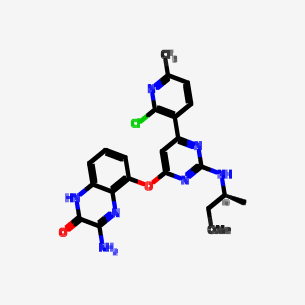 COC[C@H](C)Nc1nc(Oc2cccc3[nH]c(=O)c(N)nc23)cc(-c2ccc(C(F)(F)F)nc2Cl)n1